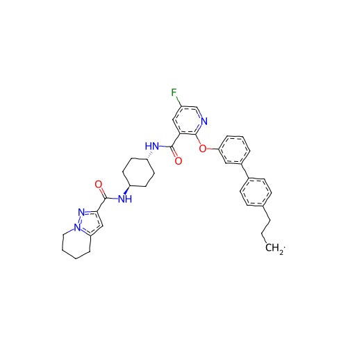 [CH2]CCc1ccc(-c2cccc(Oc3ncc(F)cc3C(=O)N[C@H]3CC[C@H](NC(=O)c4cc5n(n4)CCCC5)CC3)c2)cc1